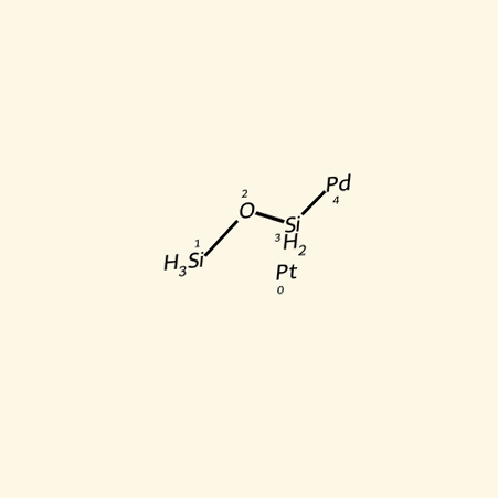 [Pt].[SiH3]O[SiH2][Pd]